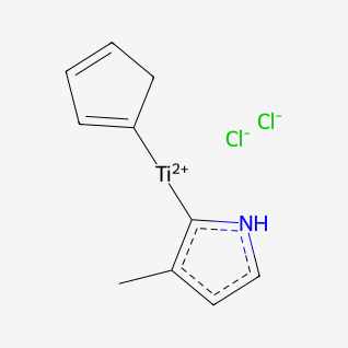 Cc1cc[nH][c]1[Ti+2][C]1=CC=CC1.[Cl-].[Cl-]